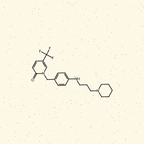 O=c1ccc(C(F)(F)F)cn1Cc1ccc(NCCCN2CCCCC2)cc1